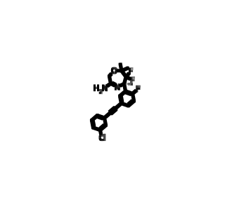 CC1(C)OCC(N)=N[C@](C)(c2cc(C#Cc3cccc(Cl)c3)ccc2F)C1(F)F